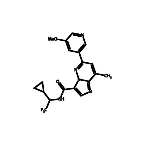 COc1cncc(-c2cc(C)c3ncc(C(=O)NC(C4CC4)C(F)(F)F)n3n2)c1